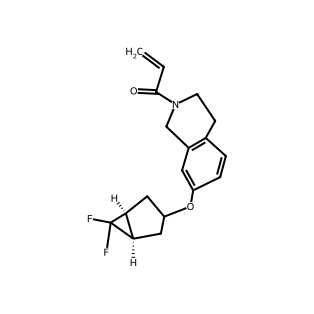 C=CC(=O)N1CCc2ccc(OC3C[C@@H]4[C@H](C3)C4(F)F)cc2C1